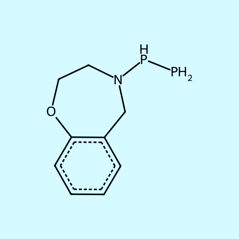 PPN1CCOc2ccccc2C1